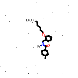 CCOC(=O)CCCCCOc1ccccc1CN(C(=O)c1ccc(C)cc1)C(C)C